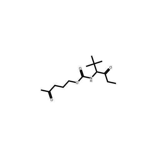 CCC(=O)C(NC(=O)OCCCC(C)=O)C(C)(C)C